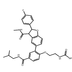 CNC(=O)C1c2cc(-c3cc(C(=O)NCC(C)C)ccc3OCCNC(N)=O)ccc2OC1c1ccc(F)cc1